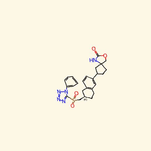 O=C1NC2(CCC(c3ccc4c(c3)CC[C@@H](CS(=O)(=O)c3nnnn3-c3ccccc3)C4)C2)CO1